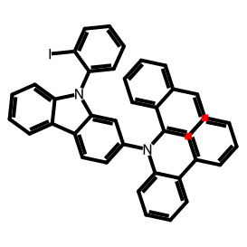 Ic1ccccc1-n1c2ccccc2c2ccc(N(c3ccccc3-c3ccccc3)c3cccc4ccccc34)cc21